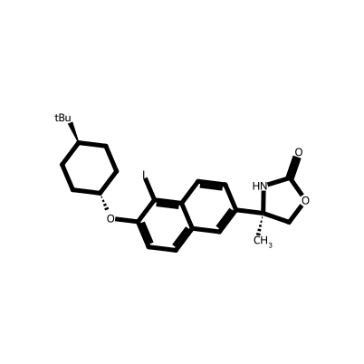 CC(C)(C)[C@H]1CC[C@H](Oc2ccc3cc([C@]4(C)COC(=O)N4)ccc3c2I)CC1